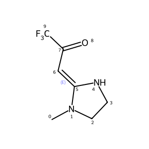 CN1CCN/C1=C\C(=O)C(F)(F)F